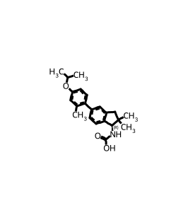 Cc1cc(OC(C)C)ccc1-c1ccc2c(c1)CC(C)(C)[C@H]2NC(=O)O